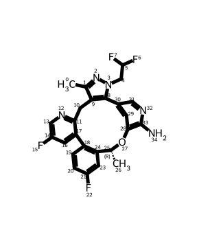 Cc1nn(CC(F)F)c2c1Cc1ncc(F)cc1-c1ccc(F)cc1[C@@H](C)Oc1cc-2cnc1N